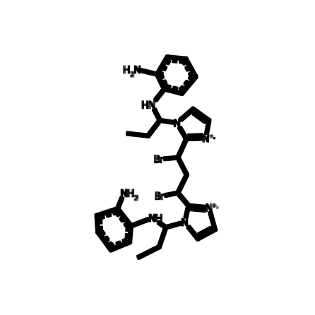 CCC(Nc1ccccc1N)N1C=C[N+]=C1C(Br)CC(Br)C1=[N+]C=CN1C(CC)Nc1ccccc1N